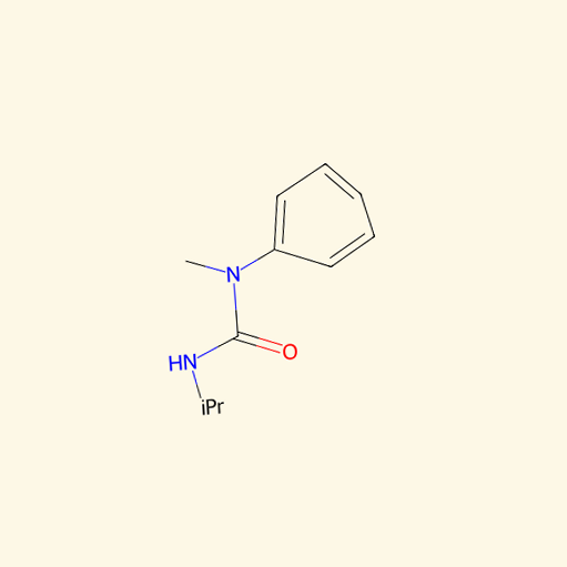 CC(C)NC(=O)N(C)c1ccccc1